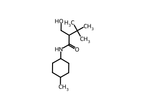 CC1CCC(NC(=O)C(CO)C(C)(C)C)CC1